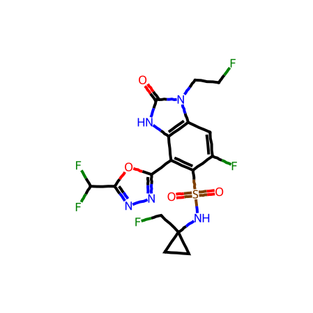 O=c1[nH]c2c(-c3nnc(C(F)F)o3)c(S(=O)(=O)NC3(CF)CC3)c(F)cc2n1CCF